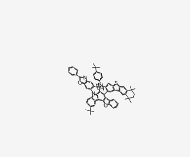 CC(C)(C)c1ccc(Nc2cc3sc4cc5c(cc4c3cc2-c2c3c4c(c6cc(C(C)(C)C)ccc6n4-c4cc6oc(-c7ccccc7)nc6cc4B3)c3oc4ccccc4c23)C(C)(C)CCC5(C)C)cc1